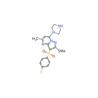 CSc1nn2c(N3CCNCC3)cc(C)nc2c1S(=O)(=O)c1ccc(F)cc1